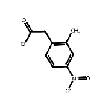 Cc1cc([N+](=O)[O-])ccc1CC(=O)Cl